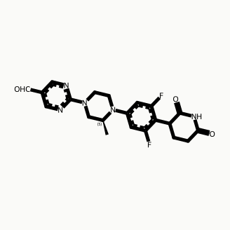 C[C@H]1CN(c2ncc(C=O)cn2)CCN1c1cc(F)c(C2CCC(=O)NC2=O)c(F)c1